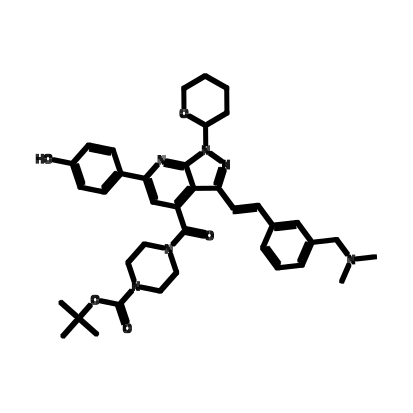 CN(C)Cc1cccc(C=Cc2nn(C3CCCCO3)c3nc(-c4ccc(O)cc4)cc(C(=O)N4CCN(C(=O)OC(C)(C)C)CC4)c23)c1